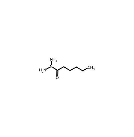 CCCCCC(=O)N(N)N